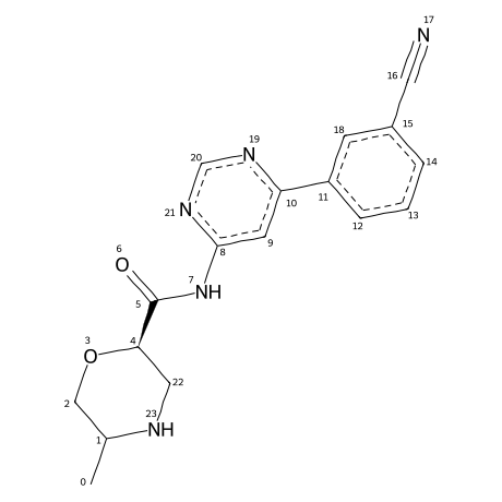 CC1CO[C@@H](C(=O)Nc2cc(-c3cccc(C#N)c3)ncn2)CN1